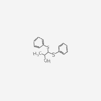 CC(O)C(Sc1ccccc1)Sc1ccccc1